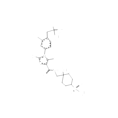 CCc1nc(C(=O)NCC2(O)CCC(S(C)(=O)=O)CC2)c(Cl)n1-c1ccc(CC(C)(C)C(F)(F)F)c(F)c1